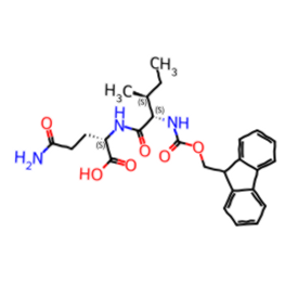 CC[C@H](C)[C@H](NC(=O)OCC1c2ccccc2-c2ccccc21)C(=O)N[C@@H](CCC(N)=O)C(=O)O